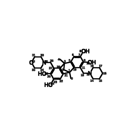 CC12CC(C)(c3cc(O)c(O)c(CN4CCCCC4)c31)c1c2cc(O)c(O)c1CN1CCOCC1